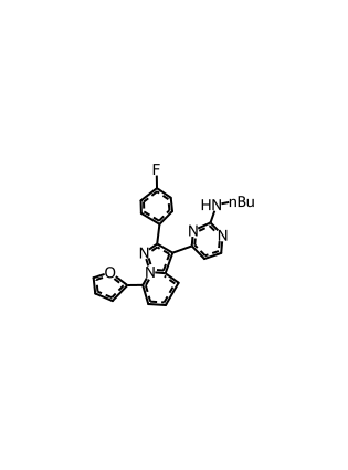 CCCCNc1nccc(-c2c(-c3ccc(F)cc3)nn3c(-c4ccco4)cccc23)n1